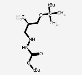 C[C@H](CNNC(=O)OC(C)(C)C)CO[Si](C)(C)C(C)(C)C